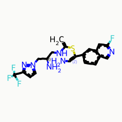 C=C(NC[C@@H](N)Cn1ccc(C(F)(F)F)n1)S/C(=C\N)c1ccc2cnc(F)cc2c1